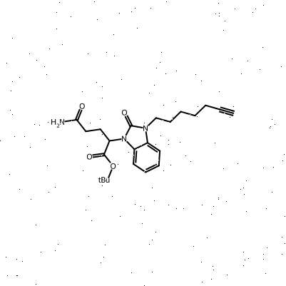 C#CCCCCCn1c(=O)n(C(CCC(N)=O)C(=O)OC(C)(C)C)c2ccccc21